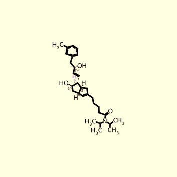 Cc1cccc(C[C@H](O)/C=C/[C@@H]2[C@H]3CC(CCCCC(=O)N(C(C)C)C(C)C)=C[C@H]3C[C@H]2O)c1